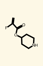 C=C(F)C(=O)OC1CCNCC1